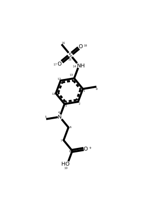 Cc1cc(N(C)CCC(=O)O)ccc1NS(C)(=O)=O